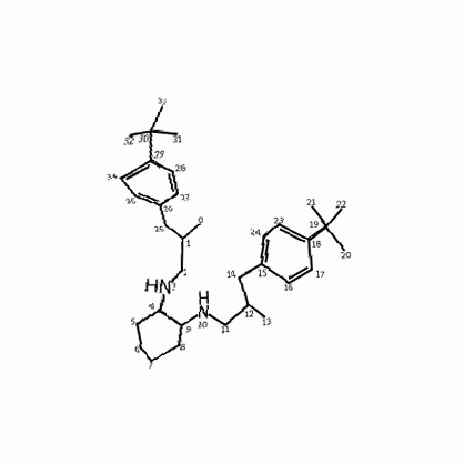 CC(CNC1CCCCC1NCC(C)Cc1ccc(C(C)(C)C)cc1)Cc1ccc(C(C)(C)C)cc1